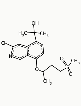 CC(CCS(C)(=O)=O)Oc1ccc(C(C)(C)O)c2cc(Cl)ncc12